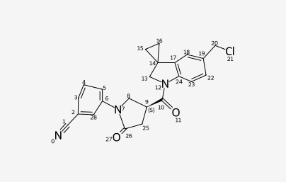 N#Cc1cccc(N2C[C@@H](C(=O)N3CC4(CC4)c4cc(CCl)ccc43)CC2=O)c1